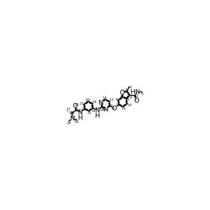 CNC(=O)c1c(C)oc2cc(Oc3ccnc(Nc4cccc(NC(=O)[C@@H](C)N(C)C)c4)n3)ccc12